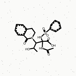 CC(=O)NC(NS(=O)(=O)c1ccccc1)(C(=O)O)C(C(C)O)N1CCc2ccccc2C1=O